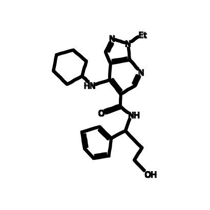 CCn1ncc2c(NC3CCCCC3)c(C(=O)NC(CCO)c3ccccc3)cnc21